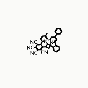 Cc1ccc2[n+](c1)C1C(CC13c1ccccc1-c1cc(-c4ccccc4)cc[n+]13)c1c(C#N)c(C#N)c(C#N)c(C#N)c1-2